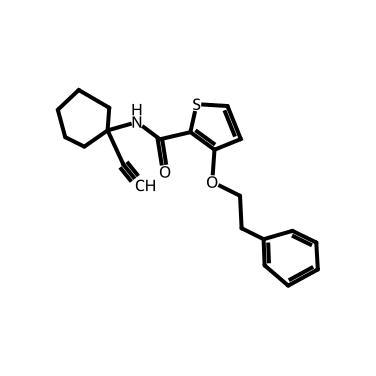 C#CC1(NC(=O)c2sccc2OCCc2ccccc2)CCCCC1